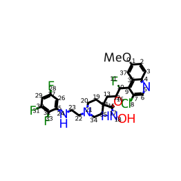 COc1ccc2ncc(Cl)c([C@H](F)CCC3(C(=O)NO)CCN(CCNc4cc(F)cc(F)c4F)CC3)c2c1